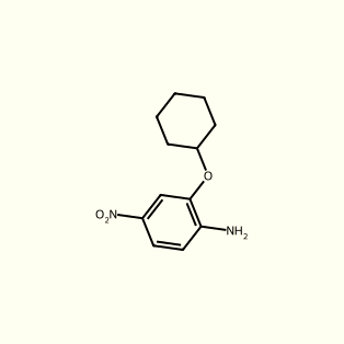 Nc1ccc([N+](=O)[O-])cc1OC1CCCCC1